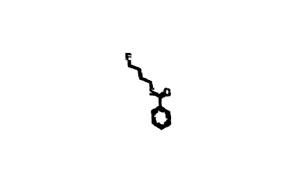 O=C(SCCCCF)c1ccccc1